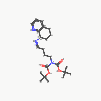 CC(C)(C)OC(=O)N(CCC/C=N\[C@H]1CCCc2cccnc21)C(=O)OC(C)(C)C